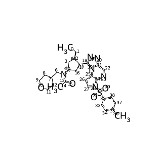 CC[C@@H]1C[C@H](N(CC2CCOCC2)C(C)=O)C[C@@H]1c1nnc2cnc3c(ccn3S(=O)(=O)c3ccc(C)cc3)n12